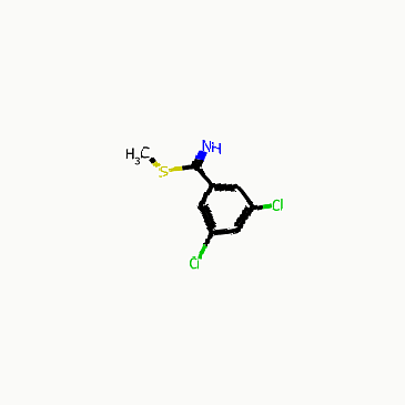 CSC(=N)c1cc(Cl)cc(Cl)c1